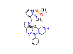 COC1CNCCN1N(c1ccccc1)c1cc2c(ccn2Cc2cccnc2N(C)S(C)(=O)=O)cn1